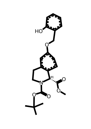 COC(=O)[C@H]1c2ccc(OCc3ccccc3O)cc2CCN1C(=O)OC(C)(C)C